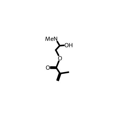 C=C(C)C(=O)OCC(O)NC